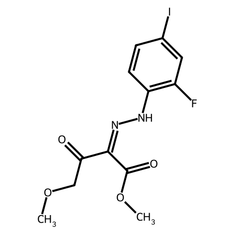 COCC(=O)C(=NNc1ccc(I)cc1F)C(=O)OC